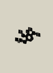 CCOc1ccc(O[SiH3])c(OCC)c1OCC